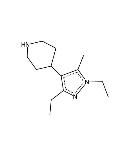 CCc1nn(CC)c(C)c1C1CCNCC1